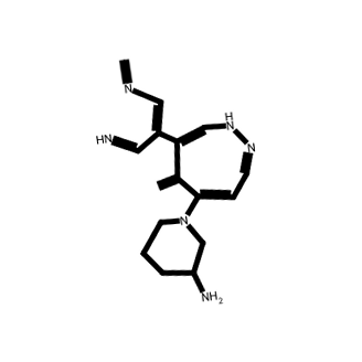 C=N/C=C(C=N)/C1=C/N/N=C\C=C(\N2CCCC(N)C2)C1=C